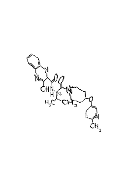 Cc1ccc(OC2CCN(C(=O)[C@@H](NC(=O)c3nc4ccccc4nc3O)C(C)C)CC2)cn1